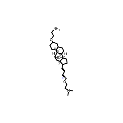 CN(C)CCO/N=C/C=CC1CC[C@@]2(O)[C@@H]3CCC4CC(OCCN)CC[C@]4(C)[C@@H]3CC[C@]12C